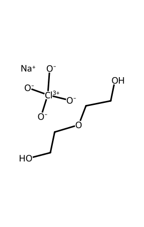 OCCOCCO.[Na+].[O-][Cl+3]([O-])([O-])[O-]